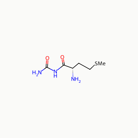 CSCC[C@H](N)C(=O)NC(N)=O